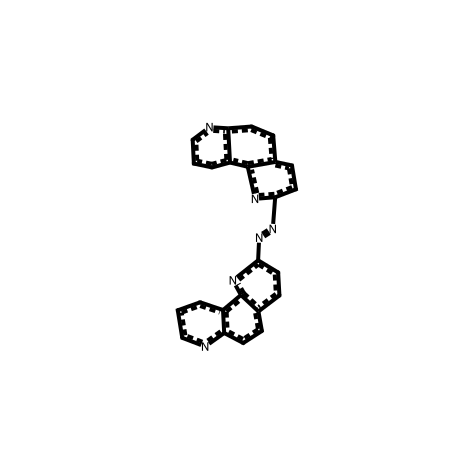 c1cnc2ccc3ccc(N=Nc4ccc5ccc6ncccc6c5n4)nc3c2c1